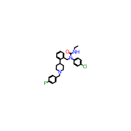 CCNC(=O)N(Cc1ccccc1C1CCN(Cc2ccc(F)cc2)CC1)c1ccc(Cl)cc1